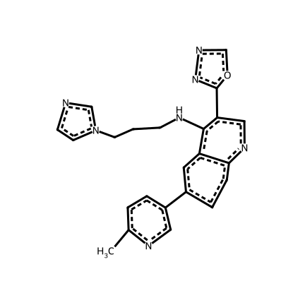 Cc1ccc(-c2ccc3ncc(-c4nnco4)c(NCCCn4ccnc4)c3c2)cn1